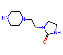 O=C1NCCN1CCN1CCNCC1